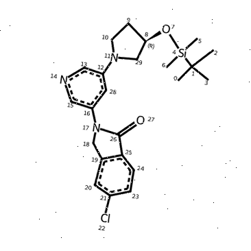 CC(C)(C)[Si](C)(C)O[C@@H]1CCN(c2cncc(N3Cc4cc(Cl)ccc4C3=O)c2)C1